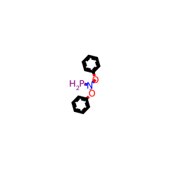 PN(Oc1ccccc1)Oc1ccccc1